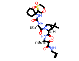 C=CCNC(=O)C(=O)[C@H](CCCC)NC(=O)[C@@H]1[C@H]2C(CN1C(=O)[C@@H](NC(=O)NC1(C3COCCS3(=O)=O)CCCCC1)C(C)(C)C)C2(C)C